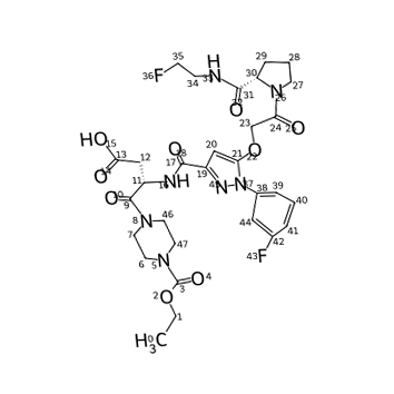 CCOC(=O)N1CCN(C(=O)[C@H](CC(=O)O)NC(=O)c2cc(OCC(=O)N3CCC[C@H]3C(=O)NCCF)n(-c3cccc(F)c3)n2)CC1